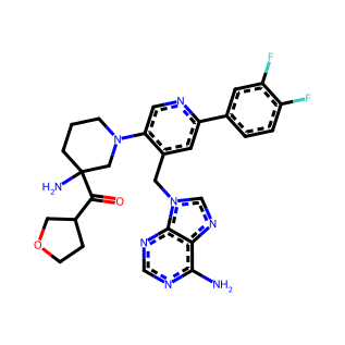 Nc1ncnc2c1ncn2Cc1cc(-c2ccc(F)c(F)c2)ncc1N1CCCC(N)(C(=O)C2CCOC2)C1